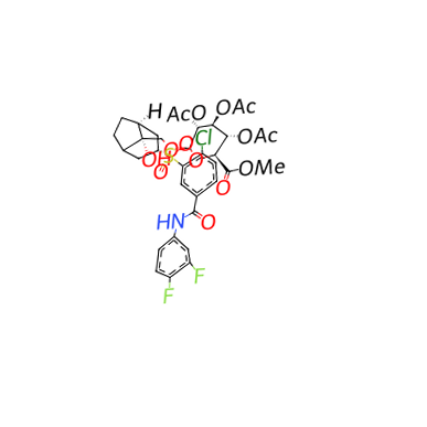 COC(=O)[C@H]1O[C@@H](OC[C@@]2(O)C3CC[C@H]2C[C@H](S(=O)(=O)c2cc(C(=O)Nc4ccc(F)c(F)c4)ccc2Cl)C3)[C@H](OC(C)=O)[C@@H](OC(C)=O)[C@@H]1OC(C)=O